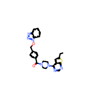 CCc1cc2c(N3CCN(C(=O)c4ccc(COn5nnc6ccccc65)cc4)CC3)ncnc2s1